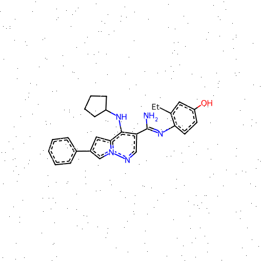 CCc1cc(O)ccc1/N=C(\N)c1cnn2cc(-c3ccccc3)cc2c1NC1CCCC1